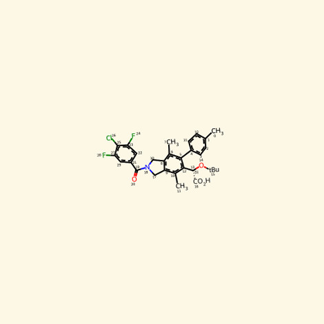 Cc1ccc(-c2c(C)c3c(c(C)c2[C@H](OC(C)(C)C)C(=O)O)CN(C(=O)c2cc(F)c(Cl)c(F)c2)C3)cc1